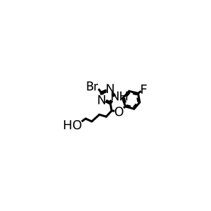 OCCCCC(Oc1ccc(F)cc1)c1nc(Br)n[nH]1